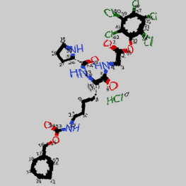 Cl.O=C(CNC(=O)[C@H](CCCCNC(=O)OCc1ccccc1)NC(=O)[C@@H]1CCCN1)Oc1c(Cl)c(Cl)c(Cl)c(Cl)c1Cl